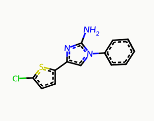 Nc1nc(-c2ccc(Cl)s2)cn1-c1ccccc1